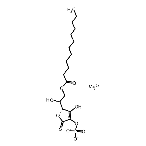 CCCCCCCCCCCC(=O)OC[C@H](O)[C@H]1OC(=O)C(OP(=O)([O-])[O-])=C1O.[Mg+2]